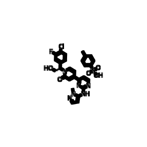 Cc1ccc(S(=O)(=O)O)cc1.Cn1nccc1Nc1nccc(-c2ccn([C@H](CO)c3ccc(Cl)c(F)c3)c(=O)c2)n1